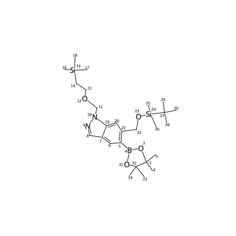 CC1(C)OB(c2cc3cnn(COCC[Si](C)(C)C)c3cc2CO[Si](C)(C)C(C)(C)C)OC1(C)C